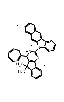 CC1(C)C2=C(N=C(n3c4ccccc4c4cc5ccccc5cc43)NC2C2=CC=CC=CC2)c2ccccc21